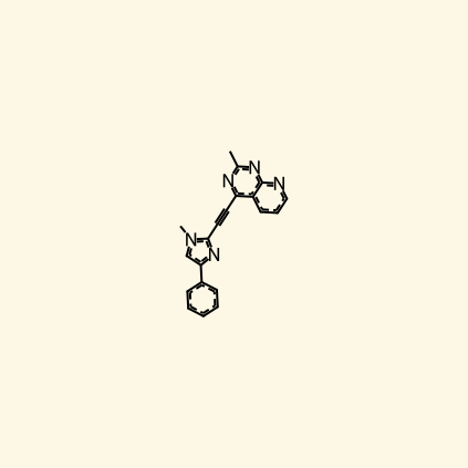 Cc1nc(C#Cc2nc(-c3ccccc3)cn2C)c2cccnc2n1